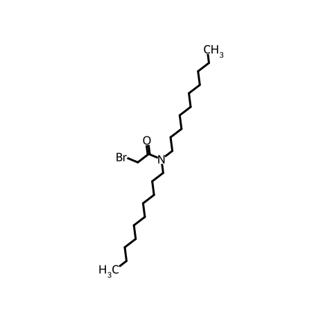 CCCCCCCCCCN(CCCCCCCCCC)C(=O)CBr